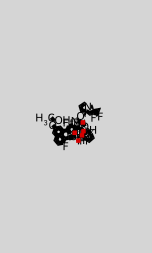 CC(O)Oc1cc(-c2ncc3c(N4C[C@H]5CC[C@@H](C4)N5C(=O)OC(C)(C)C)nc(OC[C@@]45CCCN4C[C@]4(CC4(F)F)C5)nc3c2F)c2c(C#C[Si](C(C)C)(C(C)C)C(C)C)c(F)ccc2c1